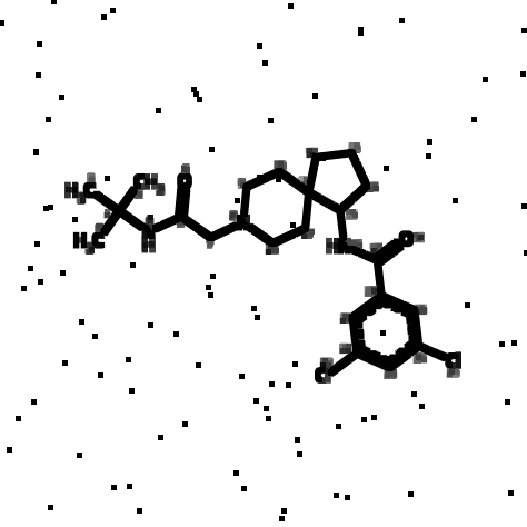 CC(C)(C)NC(=O)CN1CCC2(CCCC2NC(=O)c2cc(Cl)cc(Cl)c2)CC1